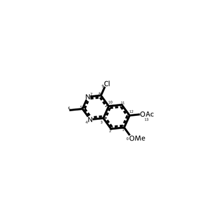 COc1cc2nc(C)nc(Cl)c2cc1OC(C)=O